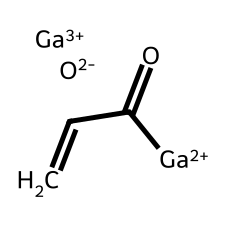 C=C[C](=O)[Ga+2].[Ga+3].[O-2]